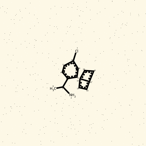 CC(N)c1ccc(Cl)cc1.c1cc2ccc1-2